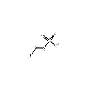 O=S(=O)(O)SCF